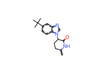 C=C1CCC(n2cnc3cc(C(C)(C)C)ccc32)C(=O)N1